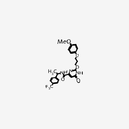 COc1ccc(OCCCOc2nc(C(=O)NC(C)c3ccc(C(F)(F)F)cc3)cc(=O)[nH]2)cc1